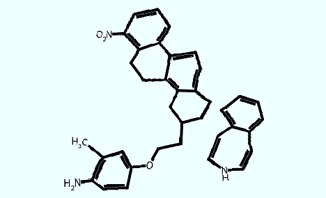 C1=Cc2ccccc2C=CN1.Cc1cc(OCCC2CCc3ccc4c(c3C2)CCc2c-4cccc2[N+](=O)[O-])ccc1N